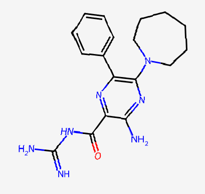 N=C(N)NC(=O)c1nc(-c2ccccc2)c(N2CCCCCC2)nc1N